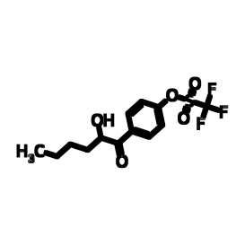 CCCCC(O)C(=O)c1ccc(OS(=O)(=O)C(F)(F)F)cc1